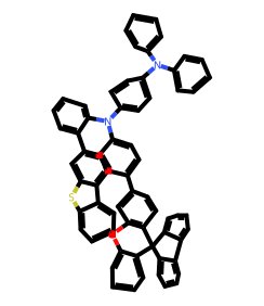 c1ccc(N(c2ccccc2)c2ccc(N(c3ccc(-c4ccc5c(c4)Oc4ccccc4C54c5ccccc5-c5ccccc54)cc3)c3ccccc3-c3ccc4c(c3)sc3ccccc34)cc2)cc1